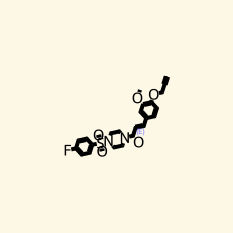 C#CCOc1ccc(/C=C/C(=O)N2CCN(S(=O)(=O)c3ccc(F)cc3)CC2)cc1OC